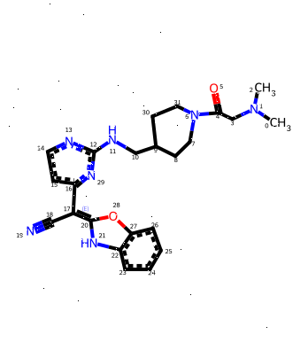 CN(C)CC(=O)N1CCC(CNc2nccc(/C(C#N)=C3/Nc4ccccc4O3)n2)CC1